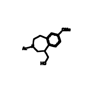 COc1ccc2c(c1)CCN(C(C)=O)CC2CO